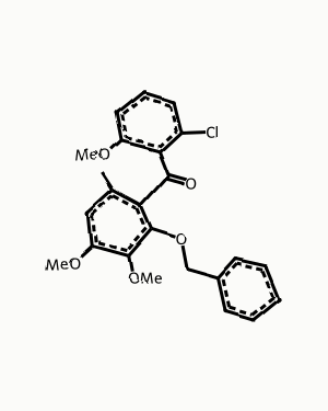 COc1cc(C)c(C(=O)c2c(Cl)cccc2OC)c(OCc2ccccc2)c1OC